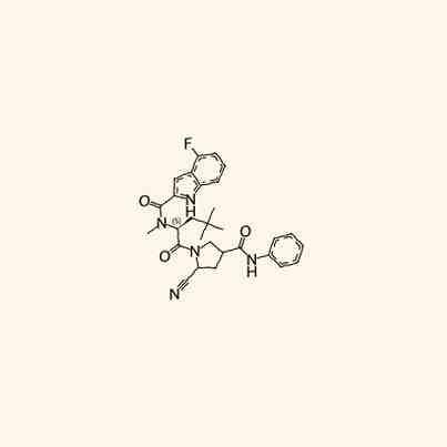 CN(C(=O)c1cc2c(F)cccc2[nH]1)[C@@H](CC(C)(C)C)C(=O)N1CC(C(=O)Nc2ccccc2)CC1C#N